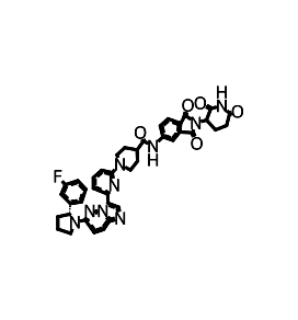 O=C1CCC(N2C(=O)c3ccc(NC(=O)C4CCN(c5cccc(-c6cnc7ccc(N8CCC[C@@H]8c8cccc(F)c8)nn67)n5)CC4)cc3C2=O)C(=O)N1